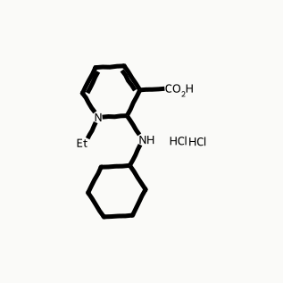 CCN1C=CC=C(C(=O)O)C1NC1CCCCC1.Cl.Cl